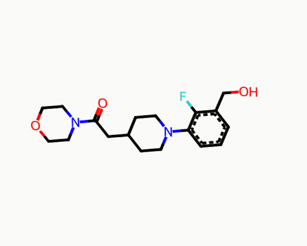 O=C(CC1CCN(c2cccc(CO)c2F)CC1)N1CCOCC1